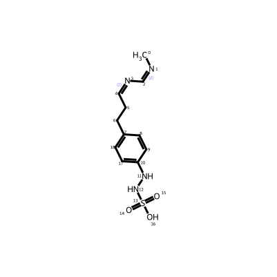 C/N=C\N=C/CCc1ccc(NNS(=O)(=O)O)cc1